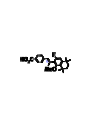 COc1c(/C(C)=C/c2ccc(C(=O)O)cc2)c(F)cc2c1C(C)(C)CCC2(C)C